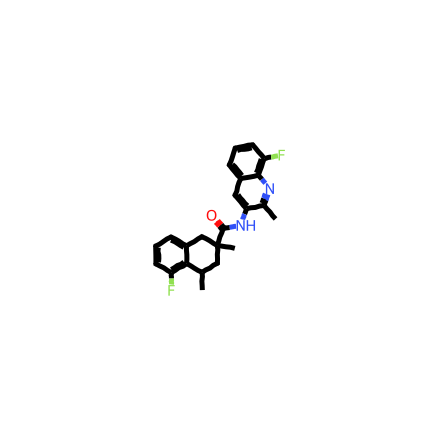 Cc1nc2c(F)cccc2cc1NC(=O)C1(C)Cc2cccc(F)c2C(C)C1